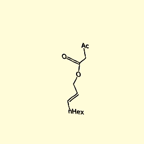 CCCCCCC=CCOC(=O)CC(C)=O